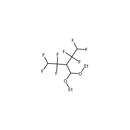 CCOC(OCC)C(C(F)(F)C(F)F)C(F)(F)C(F)F